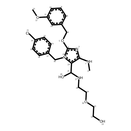 CNc1nc(OCc2cccc(OC)c2)n(Cc2ccc(Cl)cc2)c1C(O)NCCOCCO